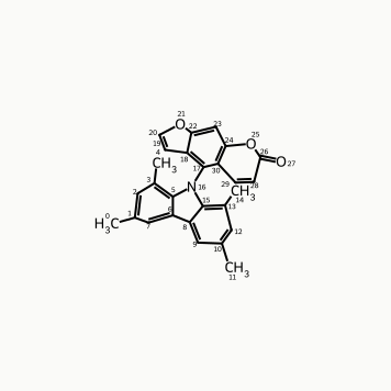 Cc1cc(C)c2c(c1)c1cc(C)cc(C)c1n2-c1c2ccoc2cc2oc(=O)ccc12